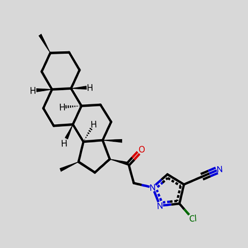 C[C@H]1CC[C@H]2[C@H](CC[C@@H]3[C@@H]2CC[C@@]2(C)[C@H]3[C@H](C)C[C@@H]2C(=O)Cn2cc(C#N)c(Cl)n2)C1